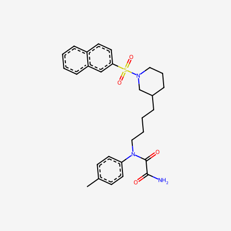 Cc1ccc(N(CCCCC2CCCN(S(=O)(=O)c3ccc4ccccc4c3)C2)C(=O)C(N)=O)cc1